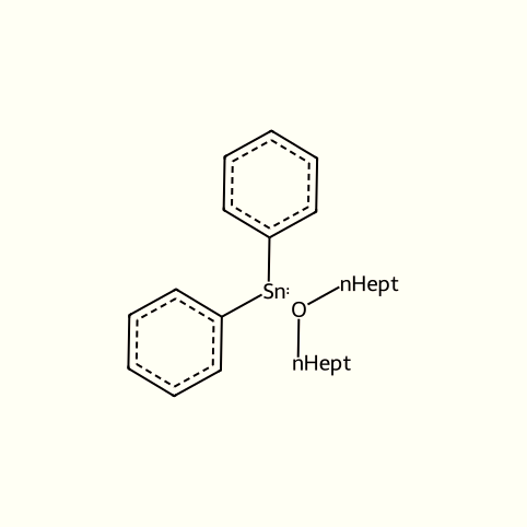 CCCCCCCOCCCCCCC.c1cc[c]([Sn][c]2ccccc2)cc1